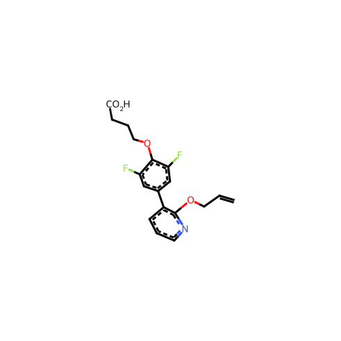 C=CCOc1ncccc1-c1cc(F)c(OCCCC(=O)O)c(F)c1